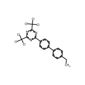 CCc1ccc(-c2ccc(-c3nc(C(Cl)(Cl)Cl)nc(C(Cl)(Cl)Cl)n3)cc2)cc1